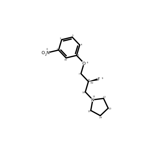 O=[N+]([O-])c1cccc(OC[C@@H](F)CN2CCCC2)c1